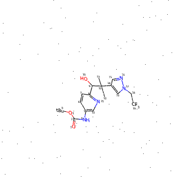 CC(C)(C)OC(=O)Nc1ccc(C(O)C(C)(C)c2cnn(CC(F)(F)F)c2)nc1